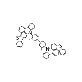 Cc1cc(-c2ccc(N(c3ccc4sc5ccccc5c4c3)c3ccccc3-c3ccccc3)c(C)c2)ccc1N(c1ccc2sc3ccccc3c2c1)c1ccccc1-c1ccccc1